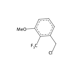 COc1cccc(CCl)c1C(F)(F)F